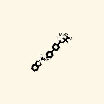 COC(=O)C(C)(C)CC(=O)c1ccc(-c2ccc(NC(=O)N3Cc4ccccc4C3)cc2)cc1